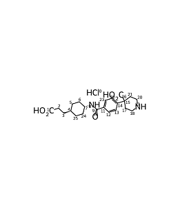 Cl.O=C(O)CC[C@H]1CC[C@H](NC(=O)c2ccc(C3(C(=O)O)CCNCC3)cc2)CC1